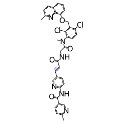 Cc1ccc(C(=O)Nc2ccc(/C=C/C(=O)NCC(=O)N(C)c3ccc(Cl)c(COc4cccc5ccc(C)nc45)c3Cl)cn2)cn1